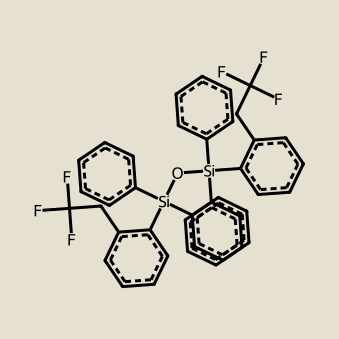 FC(F)(F)Cc1ccccc1[Si](O[Si](c1ccccc1)(c1ccccc1)c1ccccc1CC(F)(F)F)(c1ccccc1)c1ccccc1